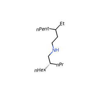 CCCCCC[C@@H](CCC)CNCCC(CC)CCCCC